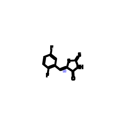 O=C1NC(=S)S/C1=C\c1cc(F)ccc1F